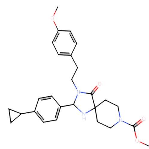 COC(=O)N1CCC2(CC1)NC(c1ccc(C3CC3)cc1)N(CCc1ccc(OC)cc1)C2=O